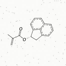 C=C(C)C(=O)O[C@H]1Cc2cccc3cccc1c23